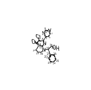 O=c1c(Cl)c(-c2ccncn2)nc2n1CCCN2C(CO)c1ccccc1